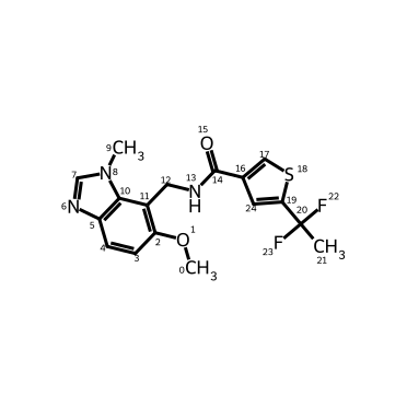 COc1ccc2ncn(C)c2c1CNC(=O)c1csc(C(C)(F)F)c1